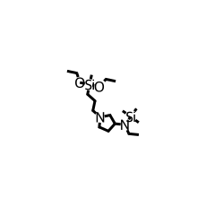 CCO[Si](C)(CCCN1CCC(N(CC)[Si](C)(C)C)C1)OCC